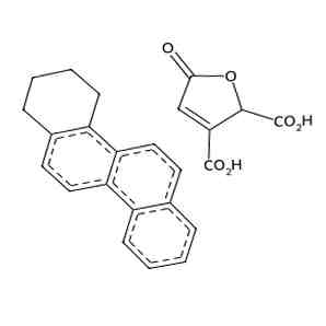 O=C1C=C(C(=O)O)C(C(=O)O)O1.c1ccc2c(c1)ccc1c3c(ccc12)CCCC3